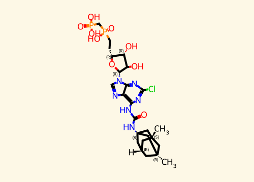 C[C@]12C[C@@H]3C[C@](C)(C1)C[C@@](NC(=O)Nc1nc(Cl)nc4c1ncn4[C@@H]1O[C@H](CCP(=O)(O)CP(=O)(O)O)[C@H](O)C1O)(C3)C2